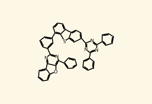 c1ccc(-c2nc(-c3ccccc3)nc(-c3ccc4c(c3)sc3c(-c5cccc(-c6nc(-c7ccccc7)c7oc8ccccc8c7n6)c5)cccc34)n2)cc1